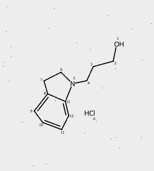 Cl.OCCCN1CCc2ccccc21